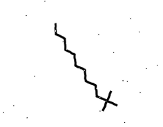 [CH2]C(C)(C)CCCCCCCCCC